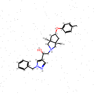 Cc1ccc(O[C@H]2C[C@@H]3CN(CC(O)c4cnn(Cc5ccccc5)c4)C[C@@H]3C2)cc1